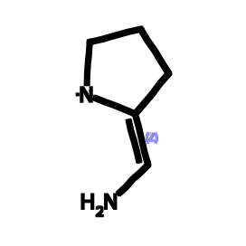 N/C=C1/CCC[N]1